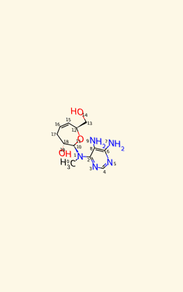 CN(c1ncnc(N)c1N)[C@@H]1O[C@H](CO)C=CC[C@H]1O